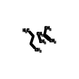 C=CC.CC.CCCC